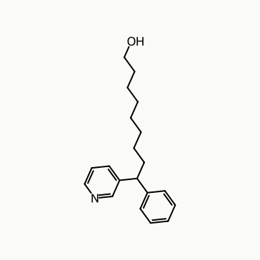 OCCCCCCCCC(c1ccccc1)c1cccnc1